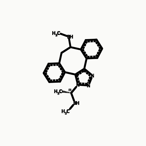 CBC1Cc2ccccc2-c2c(nnn2[C@@H](C)BC)-c2ccccc21